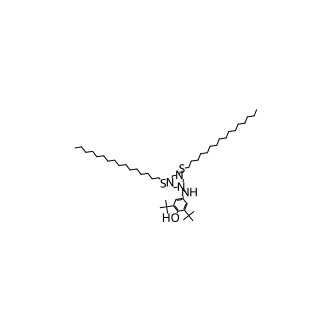 CCCCCCCCCCCCCCCCSN1CN(Nc2cc(C(C)(C)C)c(O)c(C(C)(C)C)c2)CN(SCCCCCCCCCCCCCCCC)C1